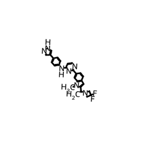 C=C(c1cc2ccc(-c3nccc(Nc4ccc(-c5cn[nH]c5)cc4)n3)cc2n1C)N1CC(F)(F)C1